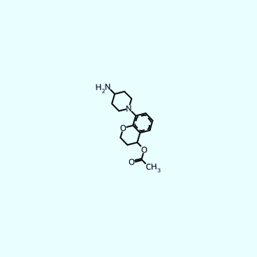 CC(=O)OC1CCOc2c1cccc2N1CCC(N)CC1